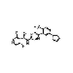 Cc1ccc(-c2cncs2)cc1-c1cnc(NC(=O)c2c(F)cncc2F)cn1